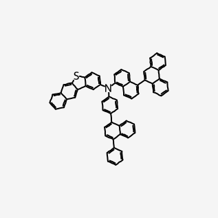 c1ccc(-c2ccc(-c3ccc(N(c4ccc5sc6cc7ccccc7cc6c5c4)c4cccc5c(-c6cc7ccccc7c7ccccc67)cccc45)cc3)c3ccccc23)cc1